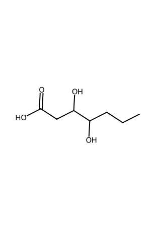 CCCC(O)C(O)CC(=O)O